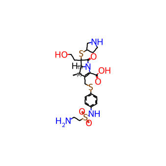 C[C@@H]1C(CSc2ccc(NS(=O)(=O)CCN)cc2)=C(C(=O)O)N2C(=O)C(CCO)(SC3CCNC3)[C@H]12